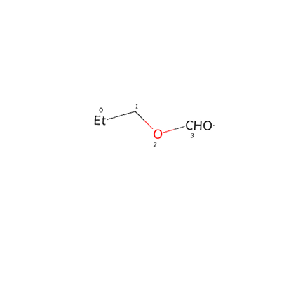 CCCO[C]=O